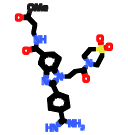 COC(=O)CCNC(=O)c1ccc2c(c1)nc(-c1ccc(C(=N)N)cc1)n2CCC(=O)N1CCS(=O)(=O)CC1